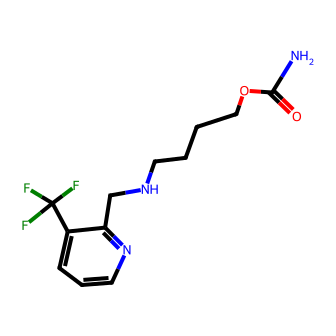 NC(=O)OCCCCNCc1ncccc1C(F)(F)F